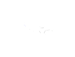 CCN(CC)CCCOc1cc[c]([Mg][Cl])cc1